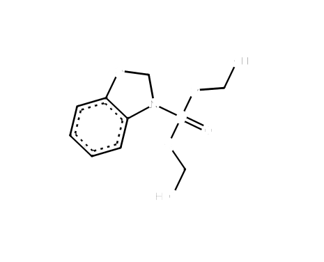 CCOP(=O)(OCC)N1COc2ccccc21